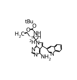 [2H]C([2H])([C@H](CC=C)NC(=O)OC(C)(C)C)n1cc(-c2cnc3ccccc3c2)c2c(N)ncnc21